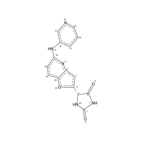 O=C1NC(=O)[C@@H](c2cc3nc(Nc4cccnc4)ccc3o2)N1